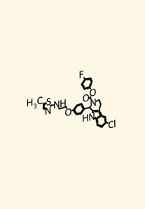 Cc1cnc(NCCOc2ccc(C3c4[nH]c5ccc(Cl)cc5c4CCN3C(=O)Oc3ccc(F)cc3)cc2)s1